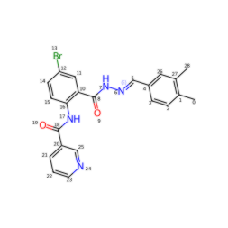 Cc1ccc(/C=N/NC(=O)c2cc(Br)ccc2NC(=O)c2cccnc2)cc1C